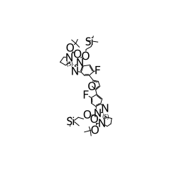 CC(C)(C)OC(=O)N1CCC[C@H]1c1nc2cc(-c3ccc(-c4cc5nc([C@@H]6CCCN6C(=O)OC(C)(C)C)n(COCC[Si](C)(C)C)c5cc4F)o3)c(F)cc2n1COCC[Si](C)(C)C